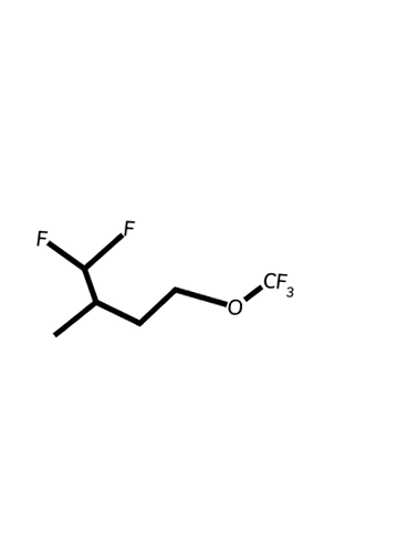 CC(CCOC(F)(F)F)C(F)F